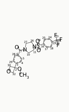 COC1(c2ccc(C(=O)N3CCN(S(=O)(=O)c4ccc(C(F)(F)F)cc4)CC3)cc2)COC1